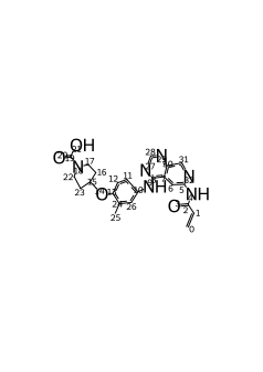 C=CC(=O)Nc1cc2c(Nc3ccc(OC4CCN(C(=O)O)CC4)c(C)c3)ncnc2cn1